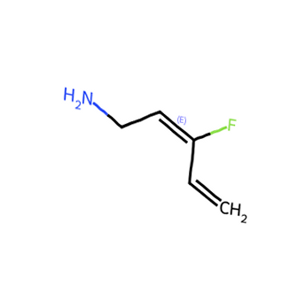 C=C/C(F)=C\CN